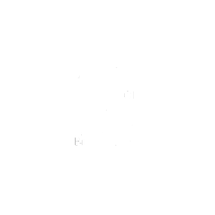 CC(O)C(C)Cc1ccccc1Br